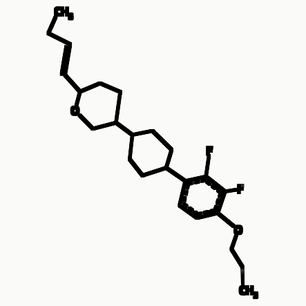 CC/C=C/C1CCC(C2CCC(c3ccc(OCCC)c(F)c3F)CC2)CO1